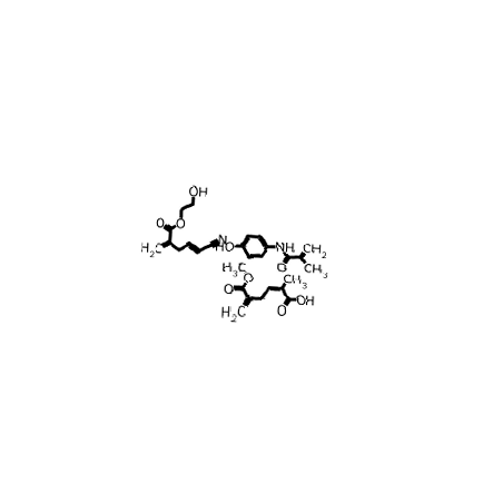 C=C(C)C(=O)Nc1ccc(O)cc1.C=C(CC=C(C)C(=O)O)C(=O)OC.C=C(CC=CC#N)C(=O)OCCO